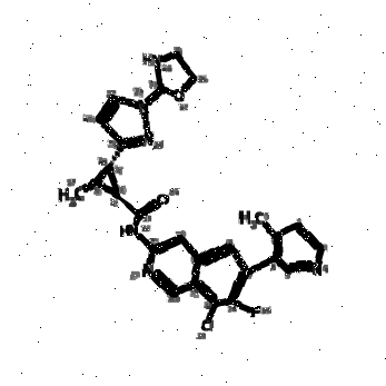 Cc1ccncc1-c1cc2cc(NC(=O)[C@H]3C(C)[C@@H]3c3ccn(C4NCCO4)n3)ncc2c(Cl)c1F